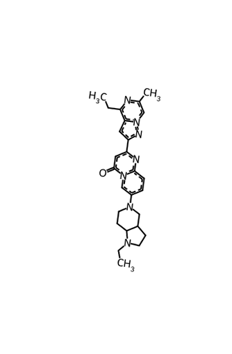 CCc1nc(C)cn2nc(-c3cc(=O)n4cc(N5CCC6C(CCN6CC)C5)ccc4n3)cc12